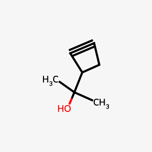 CC(C)(O)C1C#CC1